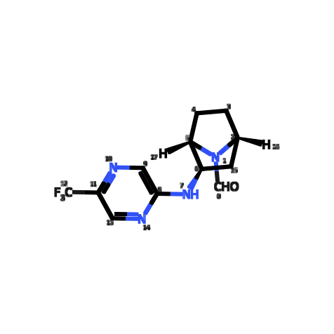 O=CN1[C@@H]2CC[C@H]1[C@H](Nc1cnc(C(F)(F)F)cn1)C2